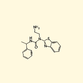 CC(NC(=O)N(CCN)c1nc2ccccc2s1)c1ccccc1